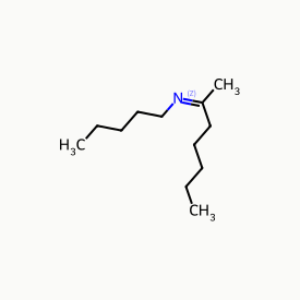 CCCCC/N=C(/C)CCCCC